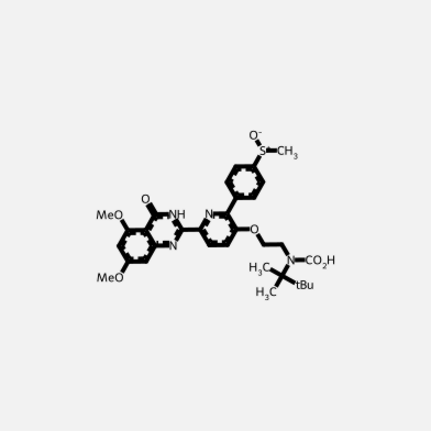 COc1cc(OC)c2c(=O)[nH]c(-c3ccc(OCCN(C(=O)O)C(C)(C)C(C)(C)C)c(-c4ccc([S+](C)[O-])cc4)n3)nc2c1